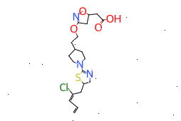 C=C/C=C(/Cl)CC1CN=C(N2CCC(CCOC3=NOC(CC(=O)O)C3)CC2)S1